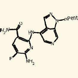 CCCCCn1ncc2c(Nc3nc(N)c(F)cc3C(N)=O)cncc21